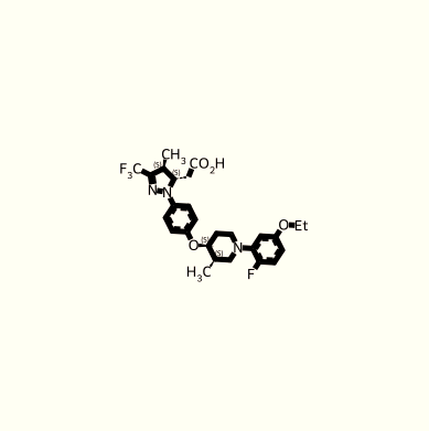 CCOc1ccc(F)c(N2CC[C@H](Oc3ccc(N4N=C(C(F)(F)F)[C@@H](C)[C@@H]4CC(=O)O)cc3)[C@@H](C)C2)c1